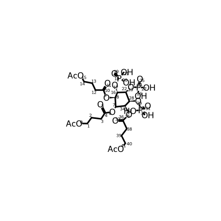 CC(=O)OCCCC(=O)O[C@@H]1[C@@H](OC(=O)CCCOC(C)=O)[C@H](OP(=O)(O)O)[C@@H](OP(=O)(O)O)[C@@H](OP(=O)(O)O)[C@H]1OC(=O)CCCOC(C)=O